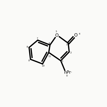 CC[CH]c1cc(=O)oc2ccccc12